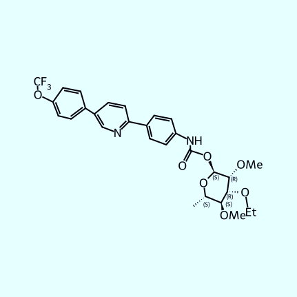 CCO[C@@H]1[C@@H](OC)[C@H](C)O[C@@H](OC(=O)Nc2ccc(-c3ccc(-c4ccc(OC(F)(F)F)cc4)cn3)cc2)[C@@H]1OC